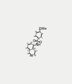 COc1ccc(S(=O)(=O)Nc2cccc3cnccc23)cc1